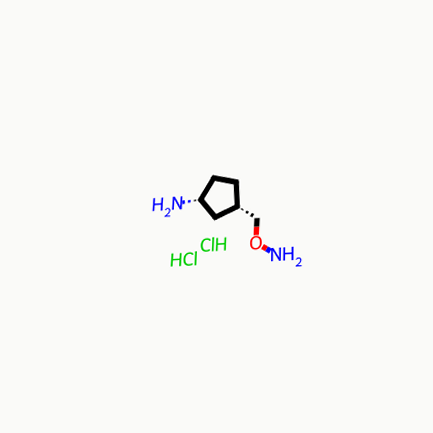 Cl.Cl.NOC[C@H]1CC[C@@H](N)C1